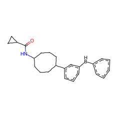 O=C(NC1CCCC(c2cccc(Bc3ccccc3)c2)CCC1)C1CC1